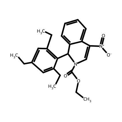 CCOC(=O)N1C=C([N+](=O)[O-])c2ccccc2C1c1c(CC)cc(CC)cc1CC